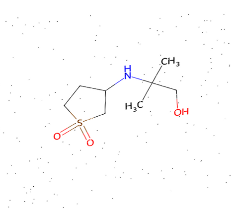 CC(C)(CO)NC1CCS(=O)(=O)C1